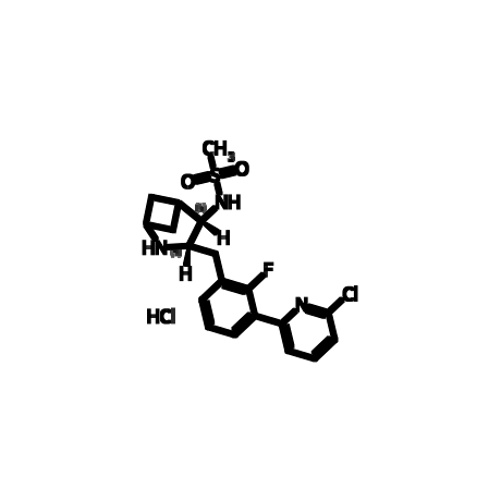 CS(=O)(=O)N[C@H]1C2CC(C2)N[C@H]1Cc1cccc(-c2cccc(Cl)n2)c1F.Cl